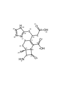 NC1C(=O)N2C(C(=O)O)=C(C(CC(=O)O)Sc3nnn[nH]3)CS[C@@H]12